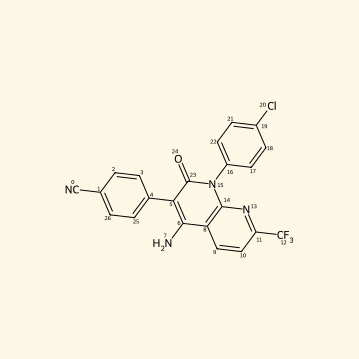 N#Cc1ccc(-c2c(N)c3ccc(C(F)(F)F)nc3n(-c3ccc(Cl)cc3)c2=O)cc1